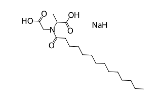 CCCCCCCCCCCCCC(=O)N(CC(=O)O)C(C)C(=O)O.[NaH]